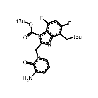 CC(C)(C)Cc1c(F)cc(F)c2c1nc(Cn1cccc(N)c1=O)n2C(=O)OC(C)(C)C